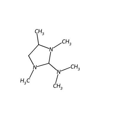 CC1CN(C)C(N(C)C)N1C